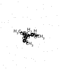 CCOC(=O)Cn1c(=O)c2c(C)c(-c3ccc(NC(=O)CC)cc3)sc2n(Cc2ccccc2SC)c1=O